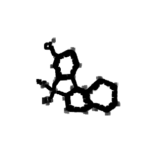 C[Si]1(C)c2cc(Cl)ccc2-c2c1ccc1ccccc21